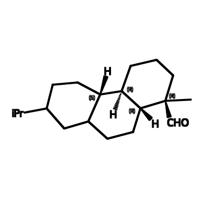 CC(C)C1CC[C@H]2C(CC[C@@H]3[C@@H]2CCC[C@@]3(C)C=O)C1